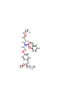 CCOC(Cc1ccc(OCCN(CCCOCC(F)(F)F)C(=O)Oc2ccccc2F)cc1)C(=O)O